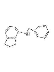 c1ccc(CNc2cccc3c2CCC3)cc1